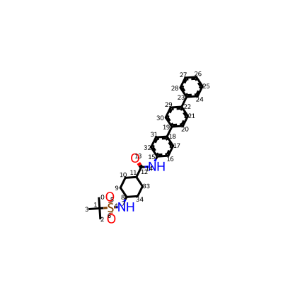 CC(C)(C)S(=O)(=O)NC1CCC(C(=O)Nc2ccc(-c3ccc(-c4ccccc4)cc3)cc2)CC1